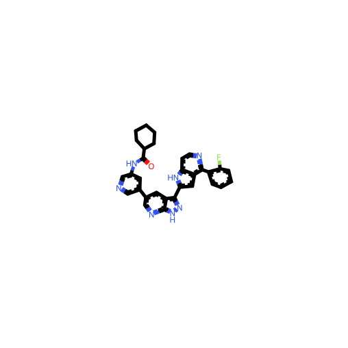 O=C(Nc1cncc(-c2cnc3[nH]nc(-c4cc5c(-c6ccccc6F)nccc5[nH]4)c3c2)c1)C1CCCCC1